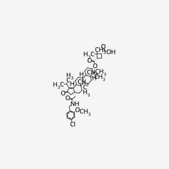 COc1cc(Cl)ccc1CNC(=O)C[C@@]12CC[C@]3(C)[C@H](CC[C@@H]4[C@@]5(C)CC[C@H](OC(=O)[C@H]6C[C@@H](C(=O)O)C6(C)C)C(C)(C)[C@@H]5CC[C@]43C)C1=C(C(C)C)C(=O)C2